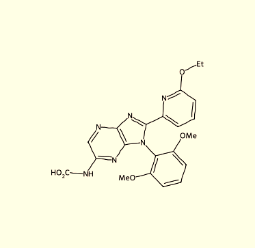 CCOc1cccc(-c2nc3ncc(NC(=O)O)nc3n2-c2c(OC)cccc2OC)n1